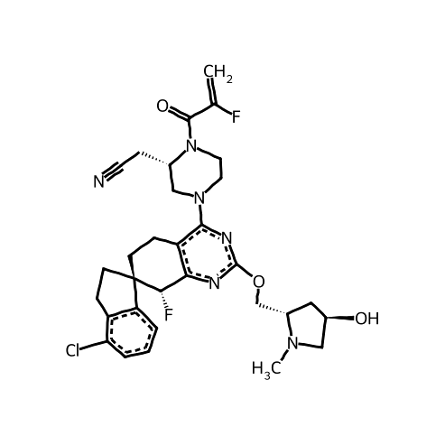 C=C(F)C(=O)N1CCN(c2nc(OC[C@@H]3C[C@@H](O)CN3C)nc3c2CC[C@@]2(CCc4c(Cl)cccc42)[C@H]3F)C[C@@H]1CC#N